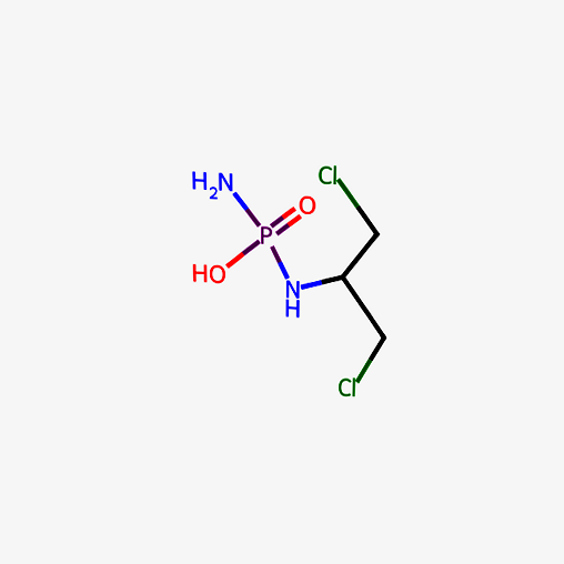 NP(=O)(O)NC(CCl)CCl